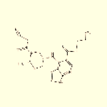 CCCOC(=O)c1cnc2[nH]ccc2c1N[C@@H]1CC[C@H](C)N(C(=O)CC#N)C1